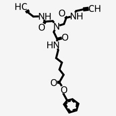 C#CCNC(=O)CN(CC(=O)NCC#C)CC(=O)NCCCCCC(=O)OCc1ccccc1